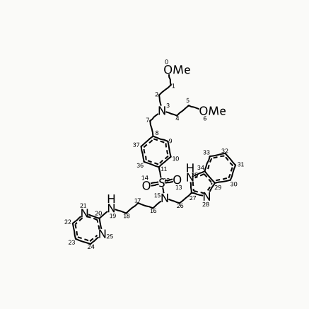 COCCN(CCOC)Cc1ccc(S(=O)(=O)N(CCCNc2ncccn2)Cc2nc3ccccc3[nH]2)cc1